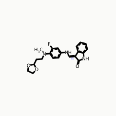 CN(CCC1OCCO1)c1ccc(N/C=C2/C(=O)Nc3ccccc32)cc1F